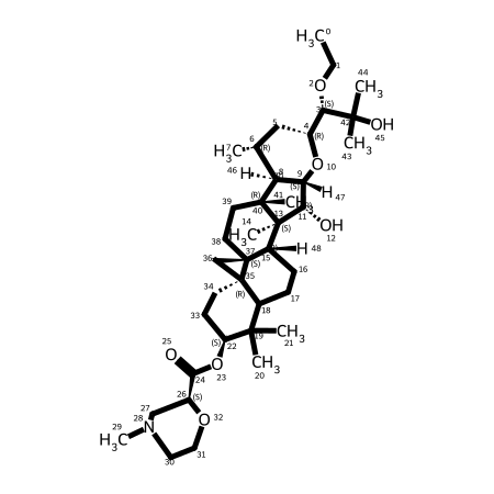 CCO[C@@H]([C@H]1C[C@@H](C)[C@H]2[C@H](O1)[C@H](O)[C@@]1(C)[C@@H]3CCC4C(C)(C)[C@@H](OC(=O)[C@@H]5CN(C)CCO5)CC[C@@]45C[C@@]35CC[C@]21C)C(C)(C)O